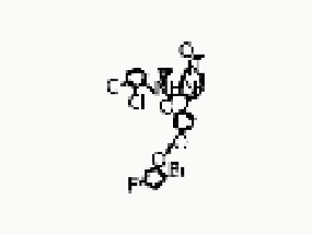 CC(=O)N1CC2CC(c3ccc(OCCOc4cc(F)ccc4Br)cc3)=C(C(=O)N(Cc3cccc(Cl)c3Cl)C3CC3)C(C1)N2